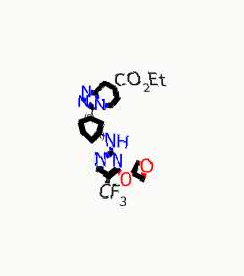 CCOC(=O)C1CCn2c(nnc2[C@H]2CCC[C@@H](Nc3ncc(C(F)(F)F)c(OC4COC4)n3)C2)C1